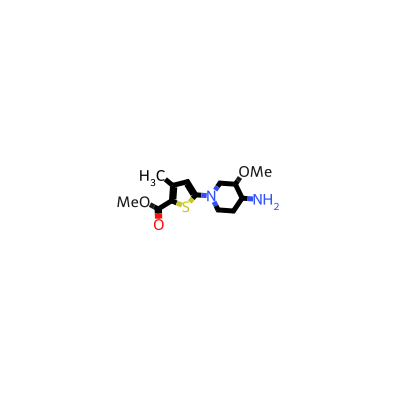 COC(=O)c1sc(N2CCC(N)C(OC)C2)cc1C